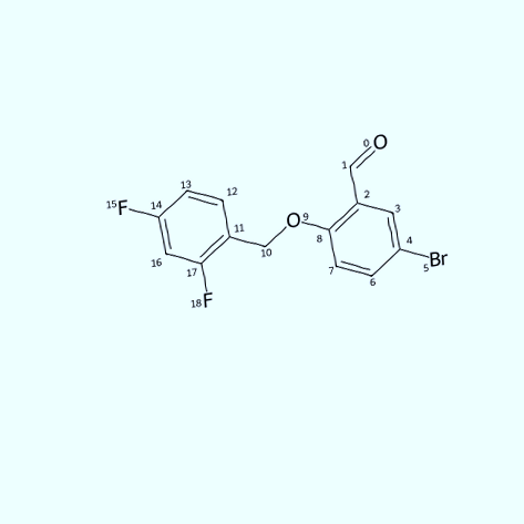 O=Cc1cc(Br)ccc1OCc1ccc(F)cc1F